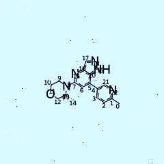 Cc1ccc(-c2cc(N3CCOC[C@H]3C)nc3cn[nH]c23)cn1